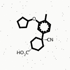 Cc1ccc([C@]2(C#N)CC[C@@H](C(=O)O)CC2)cc1OC1CCCC1